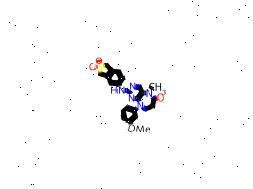 COc1cccc(N2CCC(=O)N(C)c3cnc(Nc4ccc5c(c4)CS(=O)(=O)C5)nc32)c1